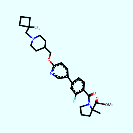 COC(=O)C1(C)CCCN1C(=O)c1ccc(-c2ccc(OCC3CCN(CC4(C(F)(F)F)CCC4)CC3)nc2)cc1F